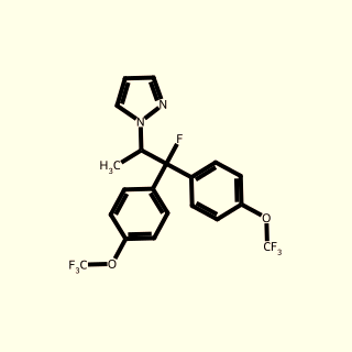 CC(n1cccn1)C(F)(c1ccc(OC(F)(F)F)cc1)c1ccc(OC(F)(F)F)cc1